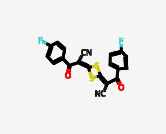 N#CC(C(=O)c1ccc(F)cc1)=c1sc(=C(C#N)C(=O)c2ccc(F)cc2)s1